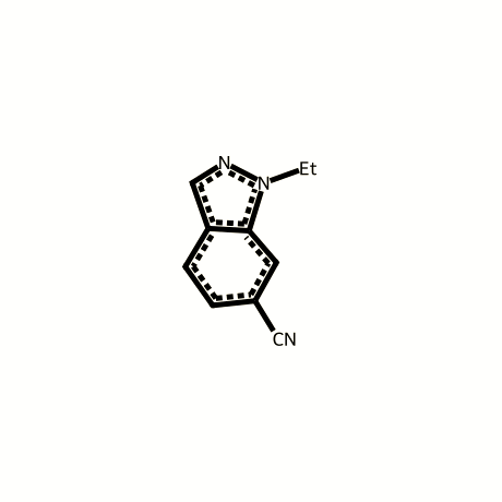 CCn1ncc2ccc(C#N)cc21